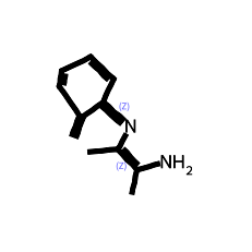 C=C1C=CC=C/C1=N/C(C)=C(/C)N